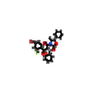 CC1[C@H](c2ccccc2)OC(=O)N1C(=O)[C@H](Cc1ccccc1)[C@@H](O)c1ccc(Br)cc1F